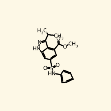 COC(=O)c1cc(S(=O)(=O)Nc2ccccc2)cc2[nH]nc(C(C)C)c12